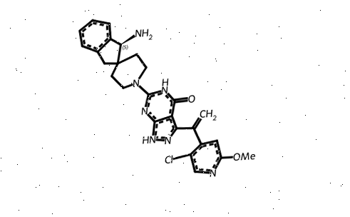 C=C(c1cc(OC)ncc1Cl)c1n[nH]c2nc(N3CCC4(CC3)Cc3ccccc3[C@H]4N)[nH]c(=O)c12